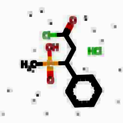 CP(=O)(O)C(CC(=O)Cl)c1ccccc1.Cl